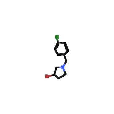 Clc1ccc(CN2CCC(Br)C2)cc1